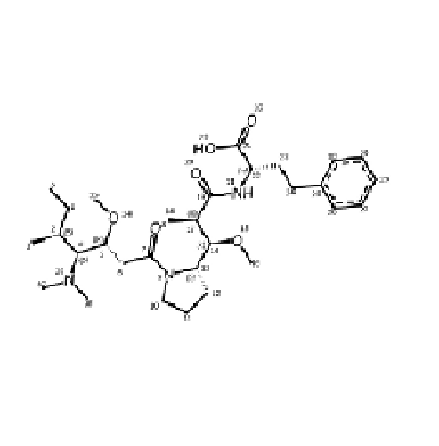 CC[C@H](C)[C@@H]([C@@H](CC(=O)N1CCC[C@H]1[C@H](OC)[C@@H](C)C(=O)N[C@@H](CCc1ccccc1)C(=O)O)OC)N(C)C